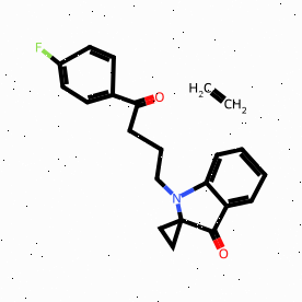 C=C.O=C(CCCN1c2ccccc2C(=O)C12CC2)c1ccc(F)cc1